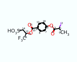 CC(I)C(=O)Oc1ccc(C(=O)OC(CS(=O)(=O)O)C(F)(F)F)cc1